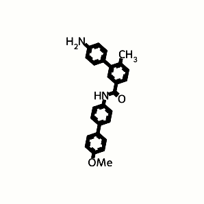 COc1ccc(-c2ccc(NC(=O)c3ccc(C)c(-c4ccc(N)cc4)c3)cc2)cc1